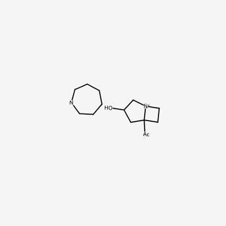 C1CCC[N]CC1.CC(=O)C12CC[N+]1CC(O)C2